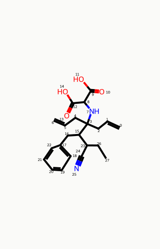 C=CCC(CC=C)(NC(C(=O)O)C(=O)O)C(Cc1ccccc1)C(C#N)CC